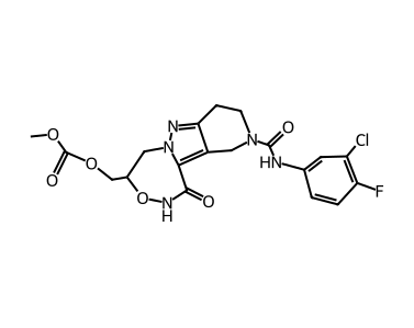 COC(=O)OCC1Cn2nc3c(c2C(=O)NO1)CN(C(=O)Nc1ccc(F)c(Cl)c1)CC3